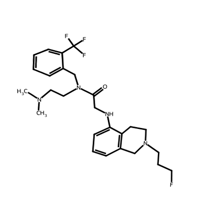 CN(C)CCN(Cc1ccccc1C(F)(F)F)C(=O)CNc1cccc2c1CCN(CCCF)C2